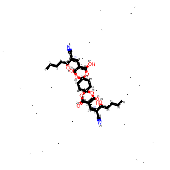 CCCCC(=O)/C(C#N)=C\C1=C(O)OC2(CCC3(CC2)OC(=O)C(/C=C(/C#N)C(=O)CCCC)=C(O)O3)OC1=O